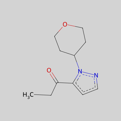 CCC(=O)c1ccnn1C1CCOCC1